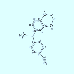 CC(c1ccc(C#N)cc1)c1ccc2c(c1)OCCO2